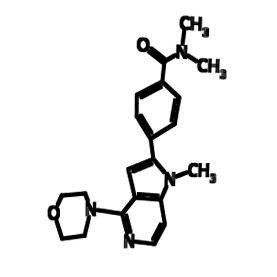 CN(C)C(=O)c1ccc(-c2cc3c(N4CCOCC4)nccc3n2C)cc1